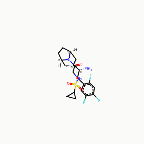 N[C@H](Cc1cc(F)c(F)cc1F)[C@@H]1C[C@H]2CC[C@@H](C1)N2C(=O)CNS(=O)(=O)C1CC1